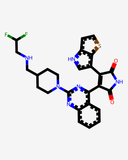 O=C1NC(=O)C(c2c[nH]c3ccsc23)=C1c1nc(N2CCC(CNCC(F)F)CC2)nc2ccccc12